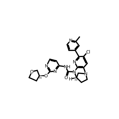 Cc1cc(-c2nc3c(cc2Cl)N2CC[C@@H](C2)N3C(=O)Nc2ccnc(O[C@H]3CCOC3)n2)ccn1